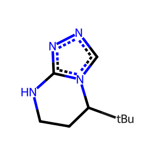 CC(C)(C)C1CCNc2nncn21